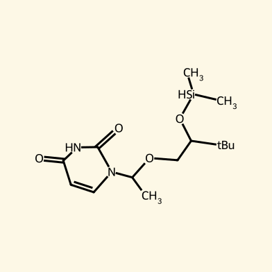 CC(OCC(O[SiH](C)C)C(C)(C)C)n1ccc(=O)[nH]c1=O